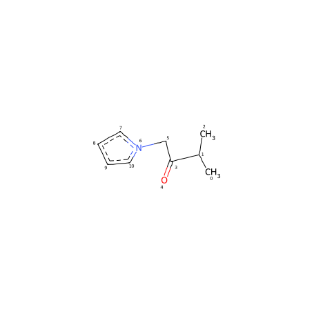 CC(C)C(=O)Cn1cccc1